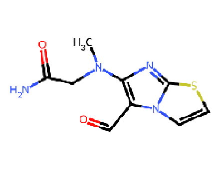 CN(CC(N)=O)c1nc2sccn2c1C=O